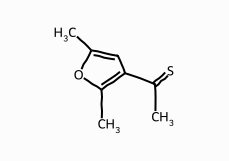 CC(=S)c1cc(C)oc1C